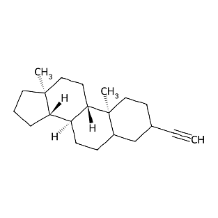 C#CC1CC[C@@]2(C)C(CC[C@H]3[C@@H]4CCC[C@@]4(C)CC[C@@H]32)C1